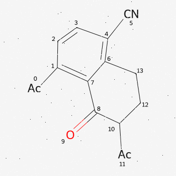 CC(=O)c1ccc(C#N)c2c1C(=O)C(C(C)=O)CC2